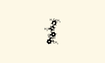 COc1ccccc1C(=O)Nc1cccc(Sc2ncc(N3CCC(C)(C)CC3)nc2N)c1Cl